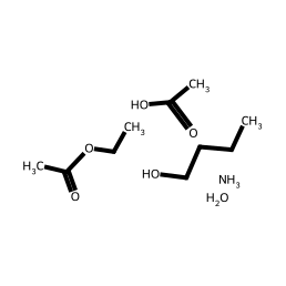 CC(=O)O.CCCCO.CCOC(C)=O.N.O